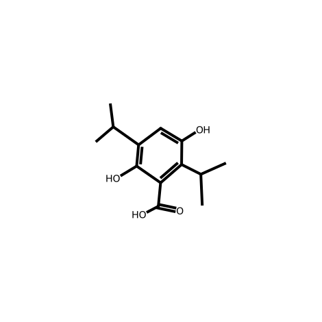 CC(C)c1cc(O)c(C(C)C)c(C(=O)O)c1O